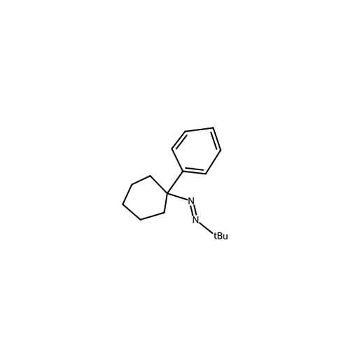 CC(C)(C)/N=N/C1(c2ccccc2)CCCCC1